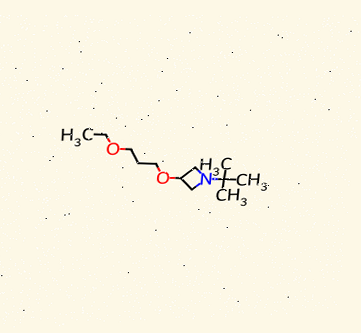 CCOCCCOC1CN(C(C)(C)C)C1